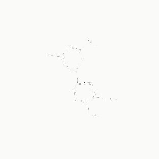 COc1ccc(-c2cc(N)nc(N)c2)cc1OC